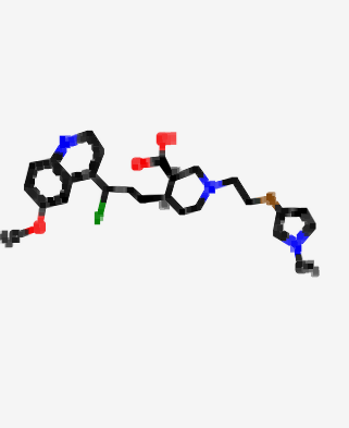 COc1ccc2nccc(C(F)CC[C@@H]3CCN(CCSc4ccn(C)c4)C[C@@H]3C(=O)O)c2c1